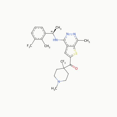 Cc1c([C@@H](C)Nc2nnc(C)c3sc(C(=O)C4(C(F)(F)F)CCN(C)CC4)cc23)cccc1C(F)(F)F